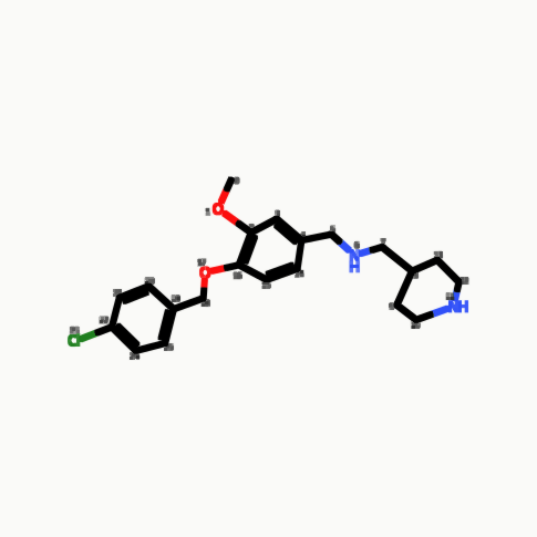 COc1cc(CNCC2CCNCC2)ccc1OCc1ccc(Cl)cc1